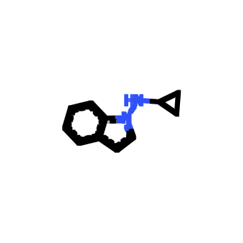 c1ccc2c(c1)ccn2NC1CC1